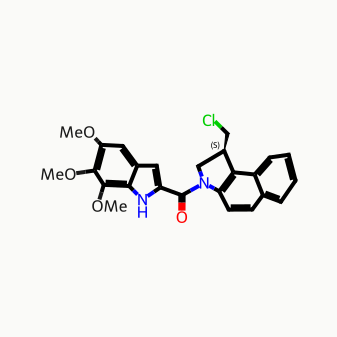 COc1cc2cc(C(=O)N3C[C@@H](CCl)c4c3ccc3ccccc43)[nH]c2c(OC)c1OC